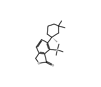 CC1(C)CCC[C@](C)(c2ccc3c(c2[Si](C)(C)C)C(=O)OC3)C1